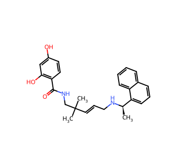 C[C@@H](NC/C=C/C(C)(C)CNC(=O)c1ccc(O)cc1O)c1cccc2ccccc12